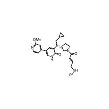 COc1cc(-c2c[nH]c(=O)c(N(CC3CC3)[C@@H]3CCN(C(=O)/C=C/CNC(C)C)C3)c2)ccn1